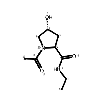 CCNC(=O)C1C[C@@H](O)CN1C(C)=O